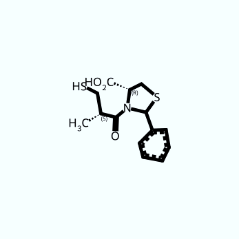 C[C@H](CS)C(=O)N1C(c2ccccc2)SC[C@H]1C(=O)O